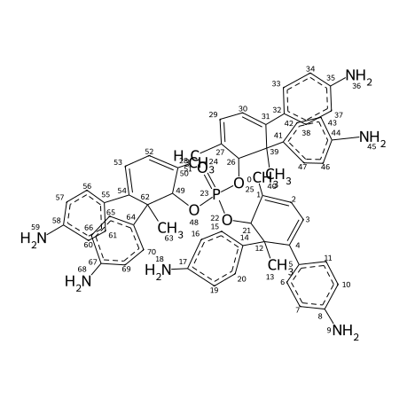 CC1=CC=C(c2ccc(N)cc2)C(C)(c2ccc(N)cc2)C1OP(=O)(OC1C(C)=CC=C(c2ccc(N)cc2)C1(C)c1ccc(N)cc1)OC1C(C)=CC=C(c2ccc(N)cc2)C1(C)c1ccc(N)cc1